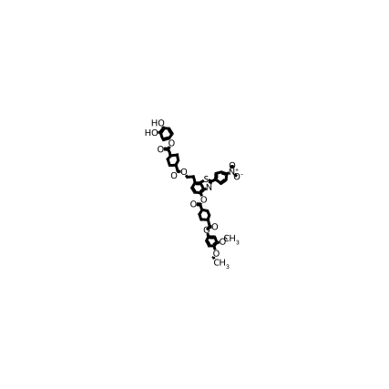 CCOc1ccc(OC(=O)C2CCC(C(=O)Oc3ccc(CCOC(=O)C4CCC(C(=O)Oc5ccc(O)c(O)c5)CC4)c4sc(-c5ccc([N+](=O)[O-])cc5)nc34)CC2)cc1OC